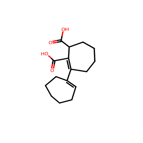 O=C(O)C1=C(C2=CCCCCC2)CCCCC1C(=O)O